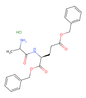 CC(N)C(=O)N[C@@H](CCC(=O)OCc1ccccc1)C(=O)OCc1ccccc1.Cl